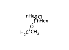 C=C(C)COCCC[Si](Cl)(CCCCCC)CCCCCC